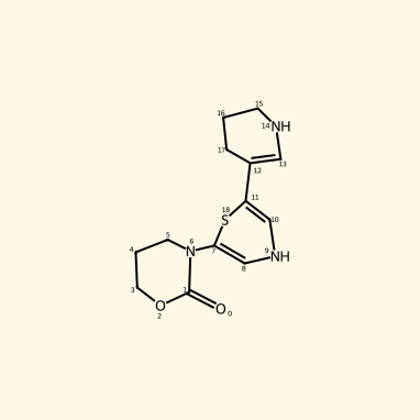 O=C1OCCCN1C1=CNC=C(C2=CNCCC2)S1